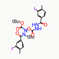 Cc1ccc(C(=O)NNC(=O)ON(C(=O)OC(C)(C)C)N(C(=O)c2ccc(C)c(I)c2)C(C)(C)C)cc1I